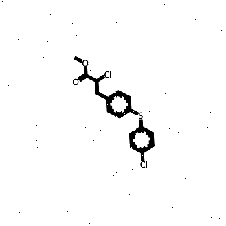 COC(=O)C(Cl)Cc1ccc(Sc2ccc(Cl)cc2)cc1